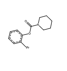 CC(C)c1ccccc1OC(=O)N1CCCCC1